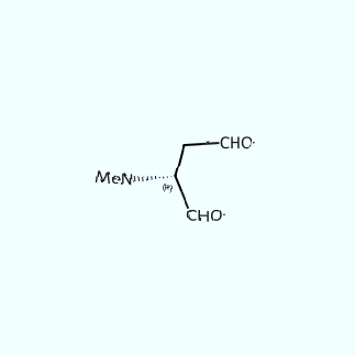 CN[C@@H]([C]=O)C[C]=O